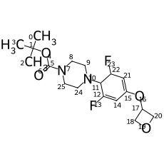 CC(C)(C)OC(=O)N1CCN(C2C(F)=CC(OC3COC3)=CC2F)CC1